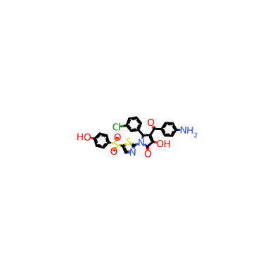 Nc1ccc(C(=O)C2=C(O)C(=O)N(c3ncc(S(=O)(=O)c4ccc(O)cc4)s3)C2c2cccc(Cl)c2)cc1